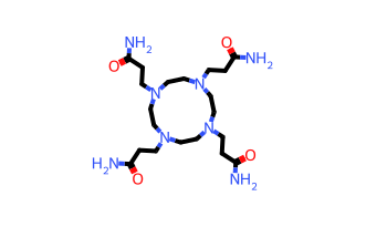 NC(=O)CCN1CCN(CCC(N)=O)CCN(CCC(N)=O)CCN(CCC(N)=O)CC1